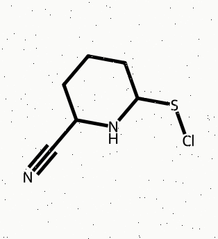 N#CC1CCCC(SCl)N1